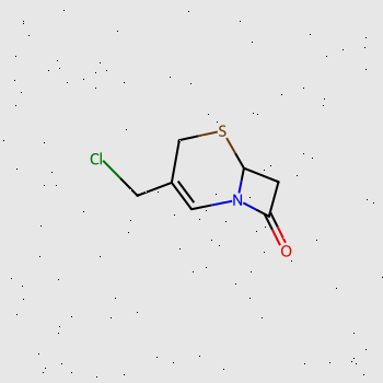 O=C1CC2SCC(CCl)=CN12